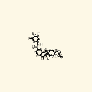 O=C(Nc1cc(F)c(F)c(F)c1)c1ccc(Cl)c(S(=O)(=O)C2C3CC[C@H]2C[C@]2(COS(=O)O2)C3)c1